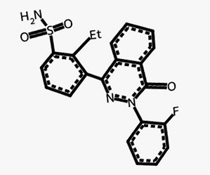 CCc1c(-c2nn(-c3ccccc3F)c(=O)c3ccccc23)cccc1S(N)(=O)=O